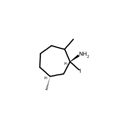 CC1CCC[C@@H](C)C[C@@]1(N)I